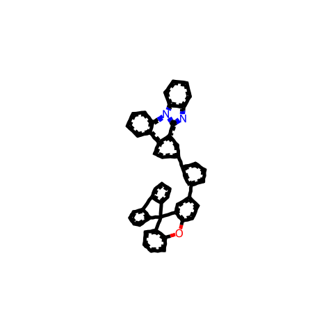 c1cc(-c2ccc3c(c2)C2(c4ccccc4O3)c3ccccc3-c3ccccc32)cc(-c2ccc3c4ccccc4n4c5ccccc5nc4c3c2)c1